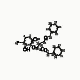 Oc1c(F)cccc1O[C@@H](COCc1ccccc1)[C@H](Cl)COCc1ccccc1